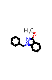 COc1nn(Cc2ccccc2)c2ccccc12